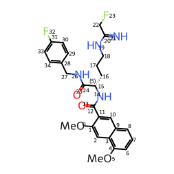 COc1cc2c(OC)cccc2cc1C(=O)N[C@@H](CCCNC(=N)CF)C(=O)NCc1ccc(F)cc1